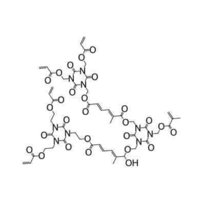 C=CC(=O)OCCn1c(=O)n(CCOC(=O)C=C)c(=O)n(CCOC(=O)/C=C/C=C(\C)C(O)OCn2c(=O)n(COC(=O)C(=C)C)c(=O)n(COC(=O)/C(C)=C/C=C/C(=O)OCn3c(=O)n(COC(=O)C=C)c(=O)n(COC(=O)C=C)c3=O)c2=O)c1=O